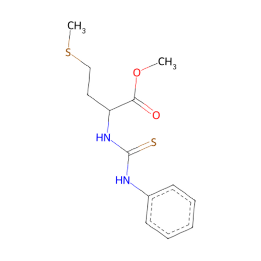 COC(=O)C(CCSC)NC(=S)Nc1ccccc1